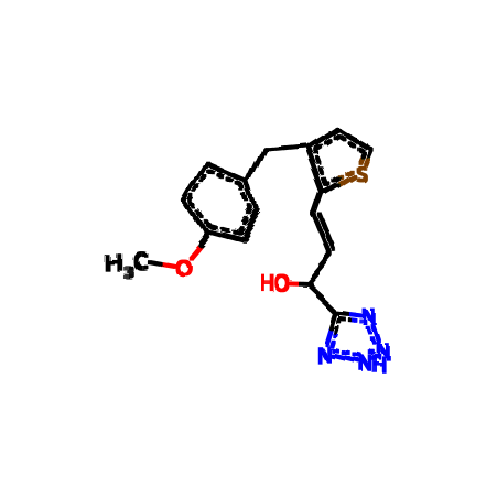 COc1ccc(Cc2ccsc2C=CC(O)c2nn[nH]n2)cc1